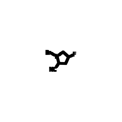 N#CC1CC(F)CN1Br